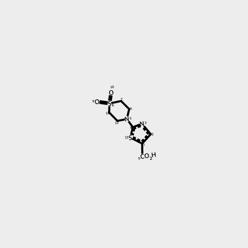 O=C(O)c1cnc(N2CCS(=O)(=O)CC2)s1